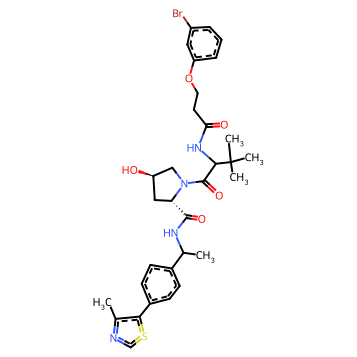 Cc1ncsc1-c1ccc(C(C)NC(=O)[C@@H]2C[C@@H](O)CN2C(=O)C(NC(=O)CCOc2cccc(Br)c2)C(C)(C)C)cc1